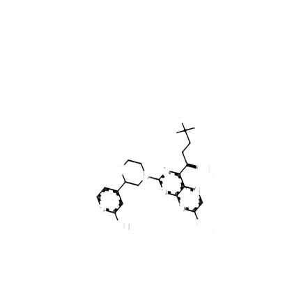 C=C(CCC(F)(F)F)c1nc(N2CCOC(c3ccnc(C)c3)C2)nc2nc(C)cnc12